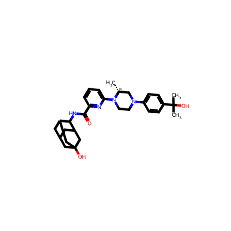 C[C@@H]1CN(c2ccc(C(C)(C)O)cc2)CCN1c1cccc(C(=O)NC2C3CC4CC2CC(O)(C4)C3)n1